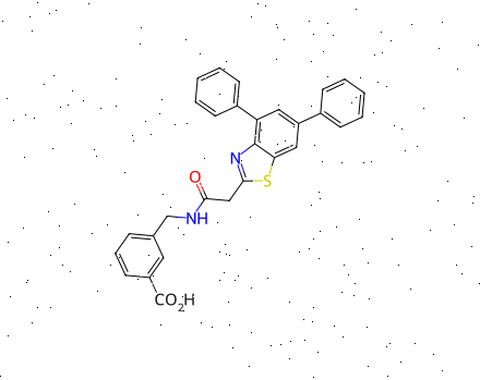 O=C(Cc1nc2c(-c3ccccc3)cc(-c3ccccc3)cc2s1)NCc1cccc(C(=O)O)c1